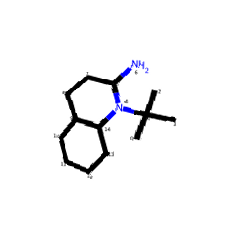 CC(C)(C)N1C(N)CCC2CCCCC21